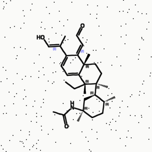 CC[C@]1(C)C2=CC=C(/C(C)=C/O)/C(=C\C=O)[C@]2(C)CC[C@@]1(C)[C@@H]1C[C@](C)(NC(C)=O)CC[C@H]1C